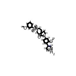 COc1cccc(S(=O)(=O)N2CCC3(CCN(c4ccc(/C(C=N)=C/N)c(OC)c4)C3=O)CC2)c1